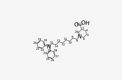 O=C(O)C1CCCN(CCCCCCCCN(c2ccccc2)c2ccccc2)C1